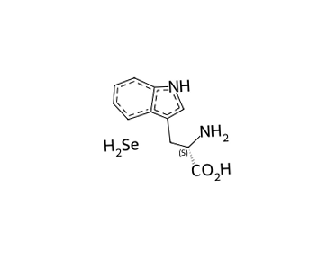 N[C@@H](Cc1c[nH]c2ccccc12)C(=O)O.[SeH2]